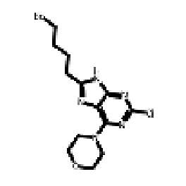 Clc1nc(N2CCOCC2)c2nc(CCCCBr)[nH]c2n1